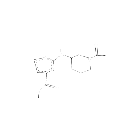 COC(=O)c1ccnc(NC2CCCN(C(C)=O)C2)n1